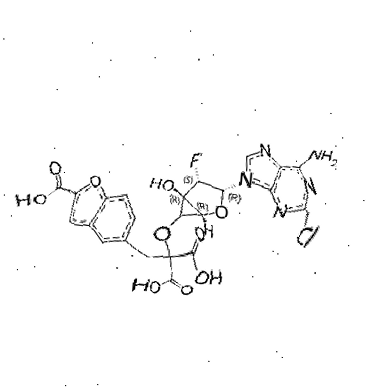 Nc1nc(Cl)nc2c1ncn2[C@@H]1O[C@@H]2C(OC(Cc3ccc4oc(C(=O)O)cc4c3)(C(=O)O)C(=O)O)[C@]2(O)[C@@H]1F